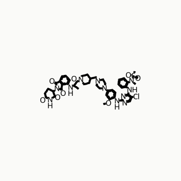 COc1cc(N2CCN(CC3CCN(C(=O)C(C)Nc4cccc5c4C(=O)N(C4CCC(=O)NC4=O)C5=O)CC3)CC2)ccc1Nc1ncc(Cl)c(Nc2ccccc2N(C)S(C)(=O)=O)n1